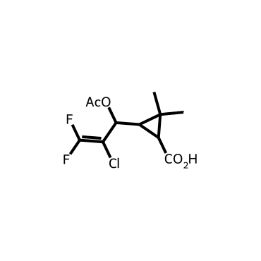 CC(=O)OC(C(Cl)=C(F)F)C1C(C(=O)O)C1(C)C